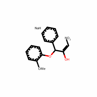 COc1ccccc1OC(/C(O)=C\[N+](=O)[O-])c1ccccc1.[NaH]